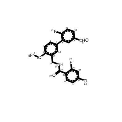 CCCOc1ccc(-c2cc(C=O)ccc2F)cc1CNC(=O)c1ccc(Cl)cc1F